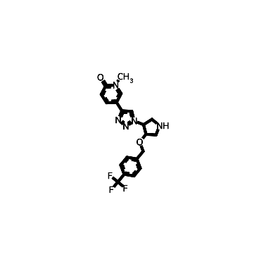 Cn1cc(-c2cn(C3CNCC3OCc3ccc(C(F)(F)F)cc3)nn2)ccc1=O